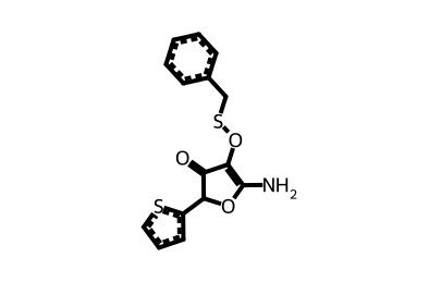 NC1=C(OSCc2ccccc2)C(=O)C(c2cccs2)O1